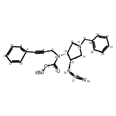 CC(C)(C)OC(=O)N(CC#Cc1ccccc1)[C@@H]1CN(Cc2ccccc2)C[C@H]1N=[N+]=[N-]